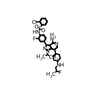 CC(F)CNC1CC=C(c2cnc(N)c3c(-c4ccc(NS(=O)(=O)c5ccccc5Cl)c(F)c4)nn(C(C)C)c23)CC1